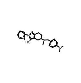 CN(C)c1ccc(CN(C)C2CCc3nn(-c4ccccn4)c(O)c3C2)cc1